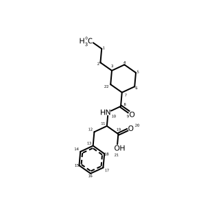 CCCC1CCCC(C(=O)NC(Cc2ccccc2)C(=O)O)C1